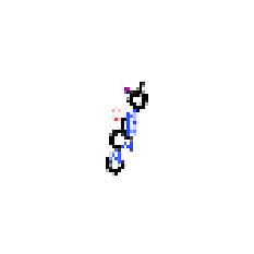 Cc1ccc(NC(=O)c2ccc(N3CCCC3)nc2)cc1I